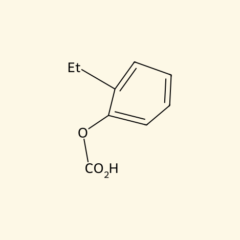 CCc1ccccc1OC(=O)O